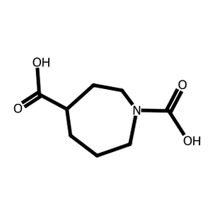 O=C(O)C1CCCN(C(=O)O)CC1